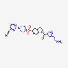 N#Cc1ccnc(N2CCN(S(=O)(=O)c3ccc4c(c3)CCN4C(=O)c3cnn(CCN)c3)CC2)n1